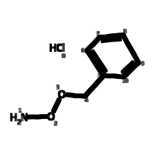 Cl.NOOCc1ccccc1